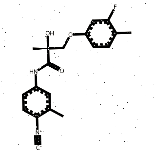 [C-]#[N+]c1ccc(NC(=O)[C@](C)(O)COc2ccc(C)c(F)c2)cc1C